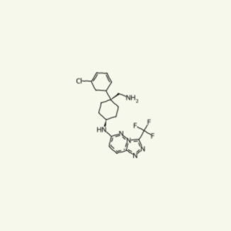 NC[C@]1(C2C=CC=C(Cl)C2)CC[C@H](Nc2ccc3nnc(C(F)(F)F)n3n2)CC1